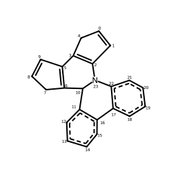 C1=CC2=C(C1)C1=C(CC=C1)C1c3ccccc3-c3ccccc3N21